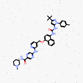 Cc1ccc(-n2nc(C(C)(C)C)cc2NC(=O)Nc2ccc(OCc3ccnc(Nc4cnc(C(=O)N[C@H]5CCCN(C)C5)cn4)c3)c3ccccc23)cc1